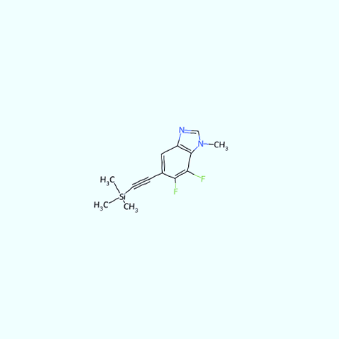 Cn1cnc2cc(C#C[Si](C)(C)C)c(F)c(F)c21